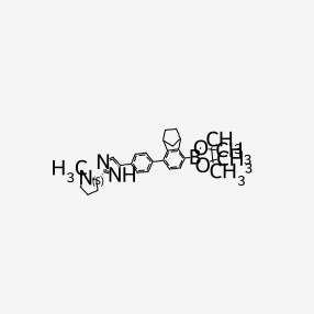 CN1CCC[C@H]1c1ncc(-c2ccc(-c3ccc(B4OC(C)(C)C(C)(C)O4)c4c3C3CCC4C3)cc2)[nH]1